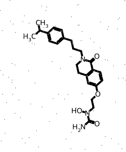 CC(C)c1ccc(CCCN2CCc3cc(OCCN(O)C(N)=O)ccc3C2=O)cc1